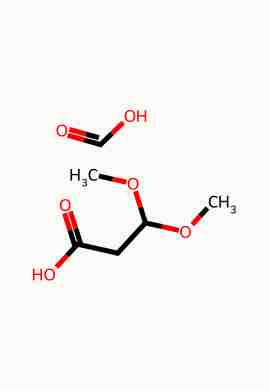 COC(CC(=O)O)OC.O=CO